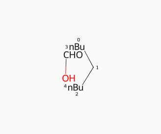 CCCCCCCCC.O=CO